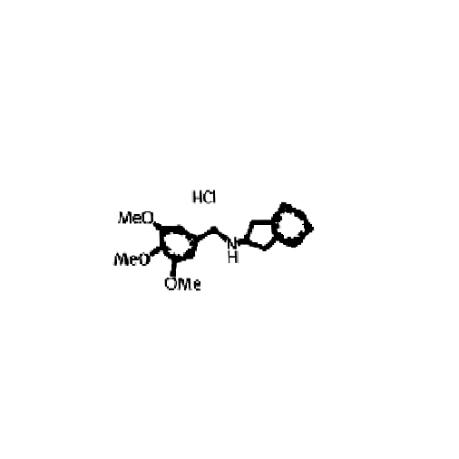 COc1cc(CNC2Cc3ccccc3C2)cc(OC)c1OC.Cl